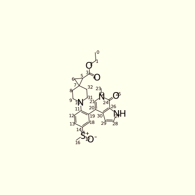 CCOC(=O)C1CC12CCN(c1ccc([S+](C)[O-])cc1-c1cn(C)c(=O)c3[nH]ccc13)CC2